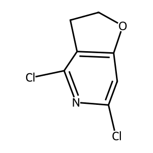 Clc1cc2c(c(Cl)n1)CCO2